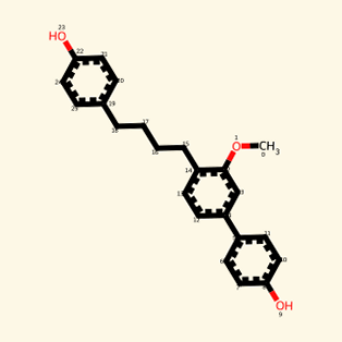 COc1cc(-c2ccc(O)cc2)ccc1CCCCc1ccc(O)cc1